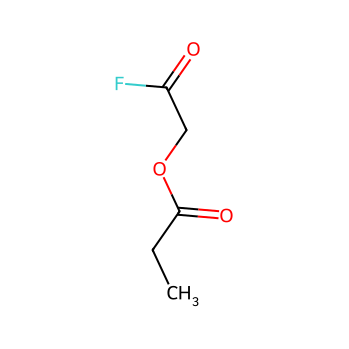 CCC(=O)OCC(=O)F